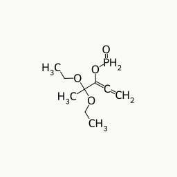 C=C=C(O[PH2]=O)C(C)(OCC)OCC